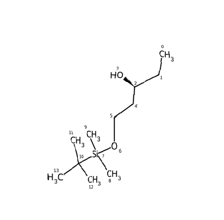 CC[C@H](O)CCO[Si](C)(C)C(C)(C)C